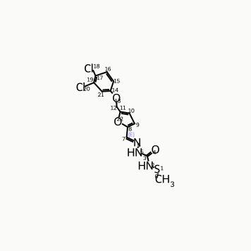 CSNC(=O)N/N=C/c1ccc(COc2ccc(Cl)c(Cl)c2)o1